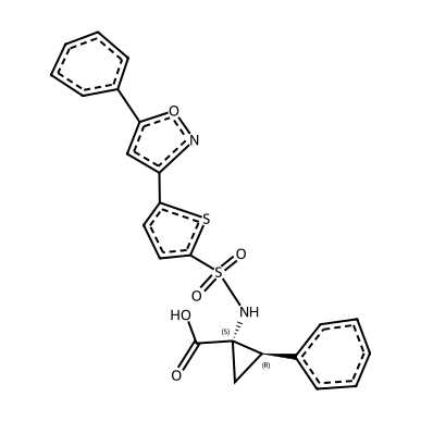 O=C(O)[C@]1(NS(=O)(=O)c2ccc(-c3cc(-c4ccccc4)on3)s2)C[C@@H]1c1ccccc1